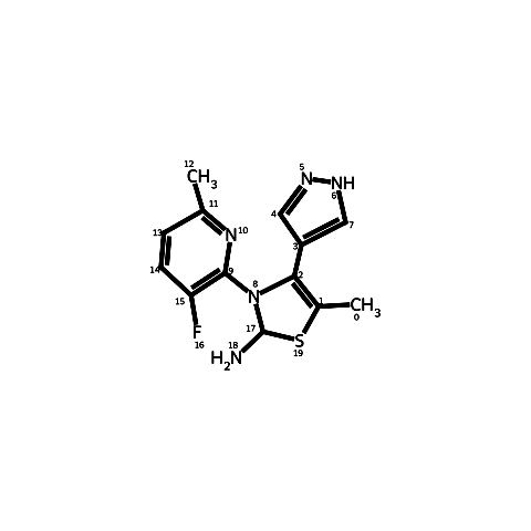 CC1=C(c2cn[nH]c2)N(c2nc(C)ccc2F)C(N)S1